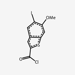 COc1cc2sc(C(=O)Cl)cc2cc1I